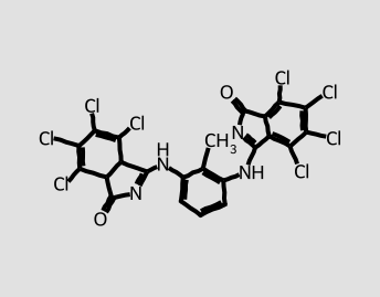 Cc1c(NC2=NC(=O)c3c(Cl)c(Cl)c(Cl)c(Cl)c32)cccc1NC1=NC(=O)C2C(Cl)=C(Cl)C(Cl)=C(Cl)C12